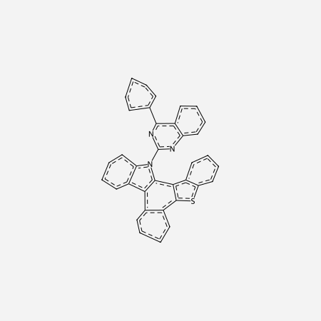 c1ccc(-c2nc(-n3c4ccccc4c4c5ccccc5c5sc6ccccc6c5c43)nc3ccccc23)cc1